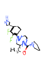 CC1CN(c2ccc(-c3cn[nH]c3)c(F)c2F)CCN1C(=O)N1CCCC1